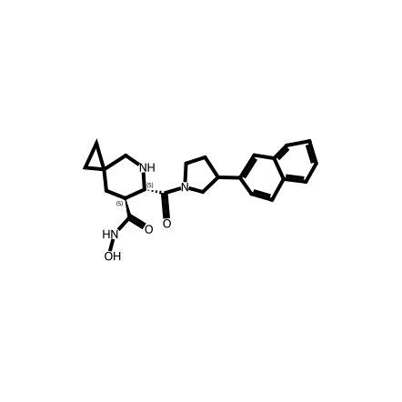 O=C(NO)[C@H]1CC2(CC2)CN[C@@H]1C(=O)N1CCC(c2ccc3ccccc3c2)C1